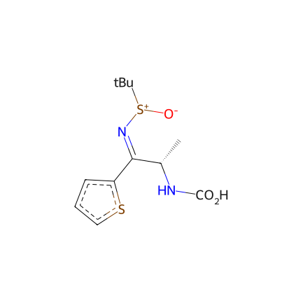 C[C@H](NC(=O)O)C(=N[S+]([O-])C(C)(C)C)c1cccs1